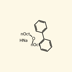 CCCCCCCCOCCCCCCCC.[NaH].c1ccc(-c2ccccc2)cc1